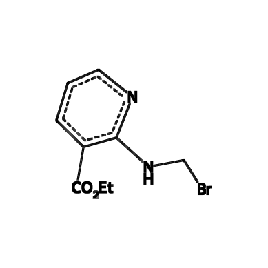 CCOC(=O)c1cccnc1NCBr